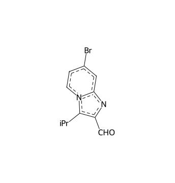 CC(C)c1c(C=O)nc2cc(Br)ccn12